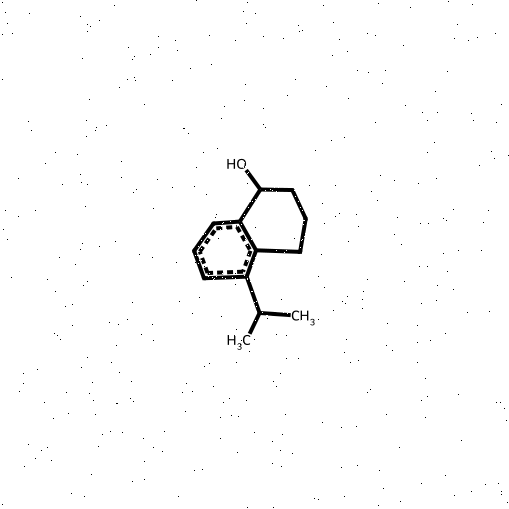 CC(C)c1cccc2c1CCCC2O